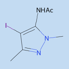 CC(=O)Nc1c(I)c(C)nn1C